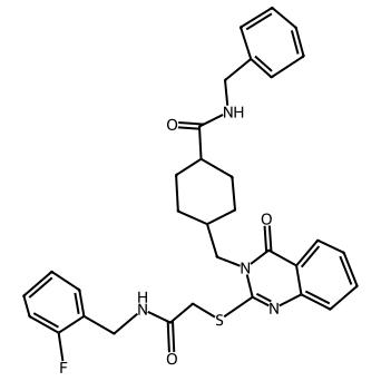 O=C(CSc1nc2ccccc2c(=O)n1CC1CCC(C(=O)NCc2ccccc2)CC1)NCc1ccccc1F